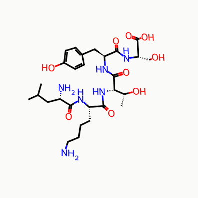 CC(C)C[C@H](N)C(=O)N[C@@H](CCCCN)C(=O)N[C@H](C(=O)N[C@@H](Cc1ccc(O)cc1)C(=O)N[C@@H](CO)C(=O)O)[C@@H](C)O